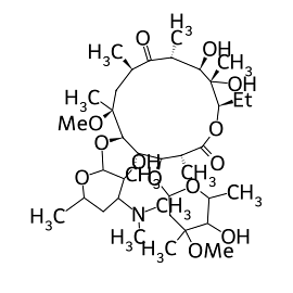 CC[C@H]1OC(=O)[C@H](C)[C@@H](OC2CC(C)(OC)C(O)C(C)O2)[C@H](C)[C@@H](OC2OC(C)CC(N(C)C)C2O)[C@@](C)(OC)C[C@@H](C)C(=O)[C@H](C)[C@@H](O)[C@]1(C)O